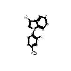 CC(=O)c1cn(-c2ccc(C#N)cc2Cl)c2ccccc12